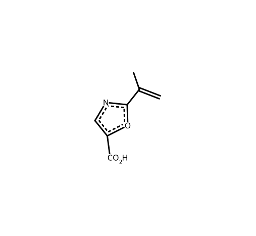 C=C(C)c1ncc(C(=O)O)o1